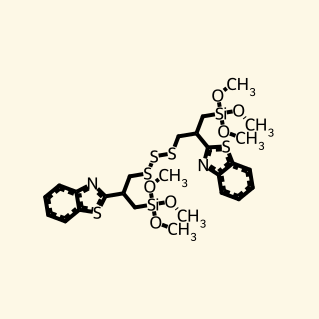 CO[Si](CC(CSSSCC(C[Si](OC)(OC)OC)c1nc2ccccc2s1)c1nc2ccccc2s1)(OC)OC